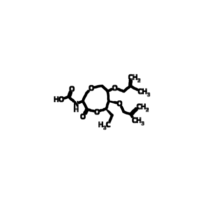 C=C(C)COC1COCC(NC(=O)O)C(=O)O[C@H](CC)[C@@H]1OCC(=C)C